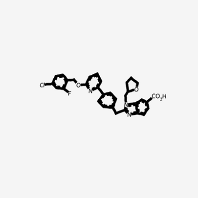 O=C(O)c1ccc2nc(Cc3ccc(-c4cccc(OCc5ccc(Cl)cc5F)n4)cc3)n(CC3CCCO3)c2c1